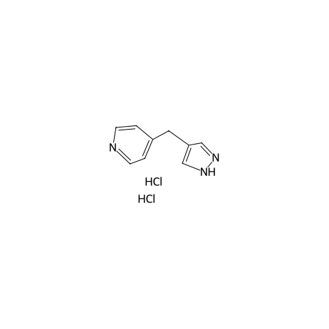 Cl.Cl.c1cc(Cc2cn[nH]c2)ccn1